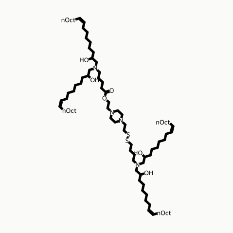 CCCCCCCC/C=C\CCCCCCC(O)CN(CCCCSSCCN1CCN(CCOC(=O)CCCCN(CC(O)CCCCCC/C=C\CCCCCCCC)CC(O)CCCCCC/C=C\CCCCCCCC)CC1)CC(O)CCCCCC/C=C\CCCCCCCC